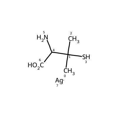 CC(C)(S)C(N)C(=O)O.[Ag]